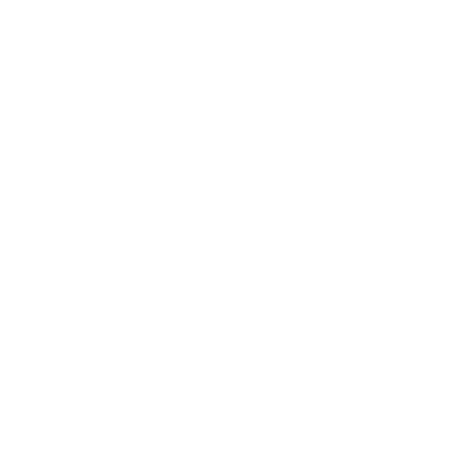 CCC=CCOCCO